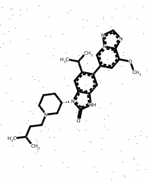 COc1cc(-c2cc3[nH]c(=O)n([C@H]4CCCN(CCC(C)C)C4)c3cc2C(C)C)cn2ncnc12